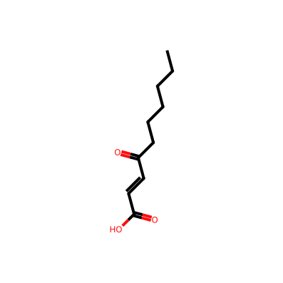 CCCCCCC(=O)/C=C/C(=O)O